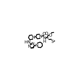 CCOC(=O)[C@H](CCSC)NC(=O)N1CCC(N2CCCC(Nc3nccc(N4CCCCCC4)n3)C2)CC1